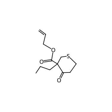 C=CCOC(=O)C1(CCC)CSCCC1=O